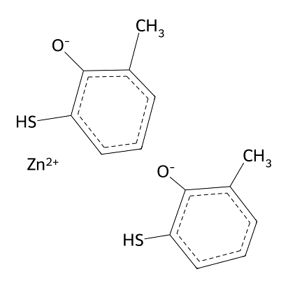 Cc1cccc(S)c1[O-].Cc1cccc(S)c1[O-].[Zn+2]